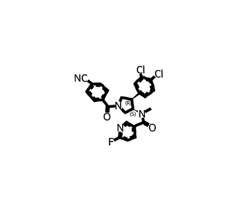 CN(C(=O)c1ccc(F)nc1)[C@@H]1CN(C(=O)c2ccc(C#N)cc2)C[C@H]1c1ccc(Cl)c(Cl)c1